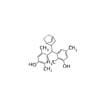 Cc1cc(O)c(C)c(C(c2cc(C)c(O)cc2C)C2CC3=CC2CC3)c1